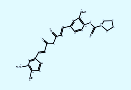 COc1cc(C=CC(=O)CC(=O)C=Cc2ccc(OC(=O)N3CCCC3)c(OC)c2)ccc1O